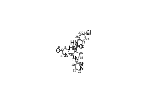 COc1ccc([C@@H]2CN(c3cccnn3)CC[C@H]2NC(=O)Nc2ccc(Cl)cc2)nc1